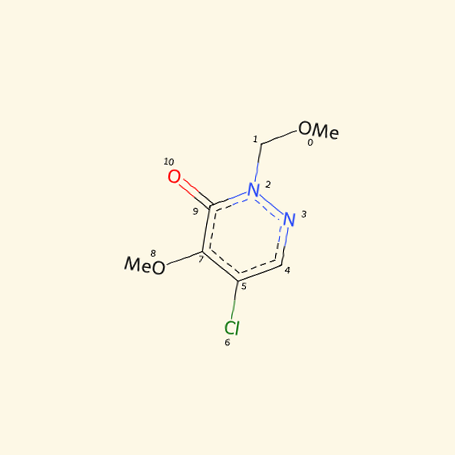 COCn1ncc(Cl)c(OC)c1=O